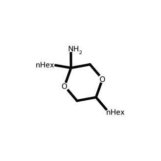 CCCCCCC1COC(N)(CCCCCC)CO1